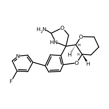 NC1NC2(CO1)c1cc(-c3cncc(F)c3)ccc1O[C@H]1CCCO[C@@H]12